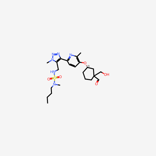 CCCCN(C)S(=O)(=O)NCc1c(-c2ccc(O[C@H]3CCCC(C=O)(CO)C3)c(C)n2)nnn1C